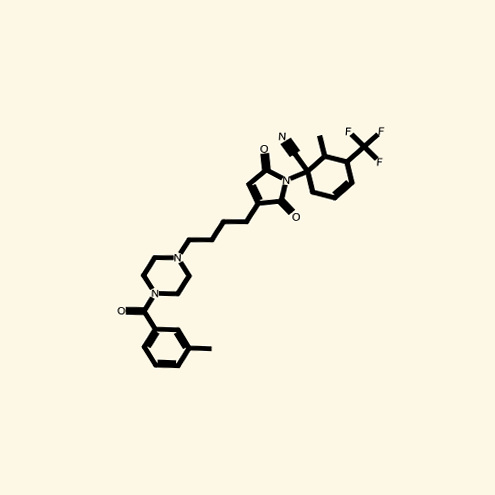 Cc1cccc(C(=O)N2CCN(CCCCC3=CC(=O)N(C4(C#N)CC=CC(C(F)(F)F)C4C)C3=O)CC2)c1